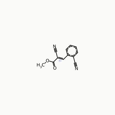 COC(=O)/C(C#N)=C/c1ccccc1C#N